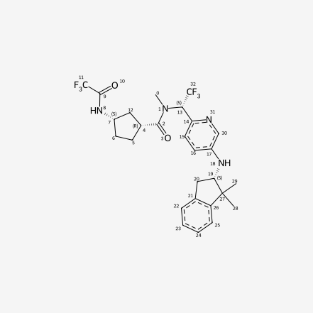 CN(C(=O)[C@@H]1CC[C@H](NC(=O)C(F)(F)F)C1)[C@@H](c1ccc(N[C@H]2Cc3ccccc3C2(C)C)cn1)C(F)(F)F